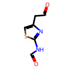 O=[C]Cc1csc(NC=O)n1